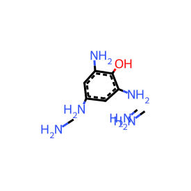 CN.CN.CN.Nc1cc(N)c(O)c(N)c1